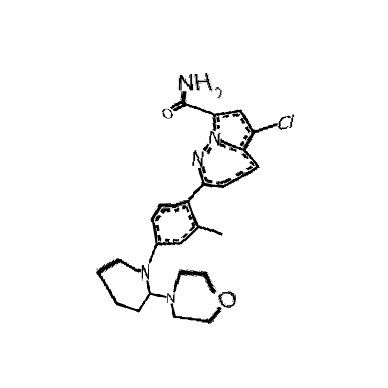 Cc1cc(N2CCCCC2N2CCOCC2)ccc1-c1ccc2c(Cl)cc(C(N)=O)n2n1